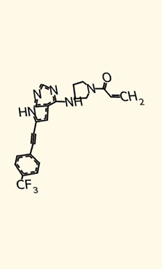 C=CC(=O)N1CCC(Nc2ncnc3[nH]c(C#Cc4ccc(C(F)(F)F)cc4)cc23)C1